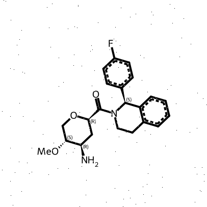 CO[C@@H]1CO[C@@H](C(=O)N2CCc3ccccc3[C@@H]2c2ccc(F)cc2)C[C@H]1N